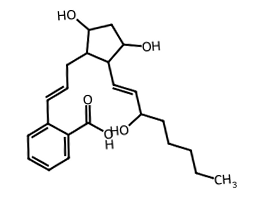 CCCCCC(O)/C=C/C1C(O)CC(O)C1CC=Cc1ccccc1C(=O)O